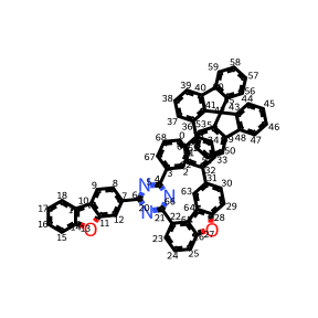 c1ccc(-c2nc(-c3ccc4c(c3)oc3ccccc34)nc(-c3cccc4oc5ccc(-c6ccc(-c7cccc8c7C7(c9ccccc9-c9ccccc97)c7ccccc7-8)cc6)cc5c34)n2)cc1